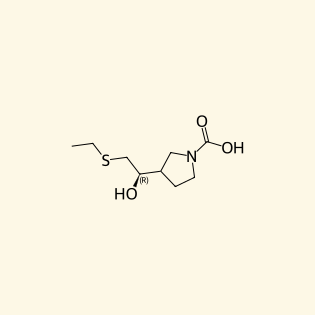 CCSC[C@H](O)C1CCN(C(=O)O)C1